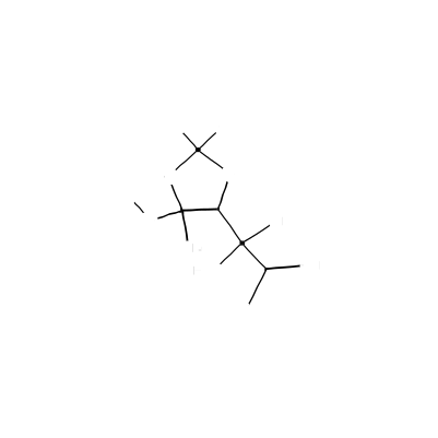 CC(F)C(C)(C)C1OC(C(F)(F)F)(C(F)(F)F)OC1(OC(F)(F)F)C(C)(C)C